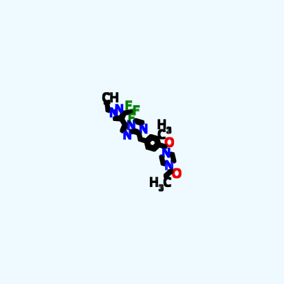 C#CCn1cc(-c2cnc3c(Cc4ccc(C(=O)N5CCN(C(=O)CC)CC5)c(C)c4)nccn23)c(C(F)(F)F)n1